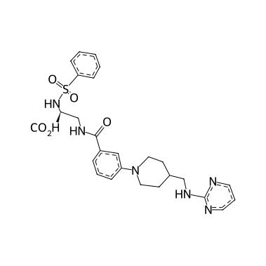 O=C(NC[C@H](NS(=O)(=O)c1ccccc1)C(=O)O)c1cccc(N2CCC(CNc3ncccn3)CC2)c1